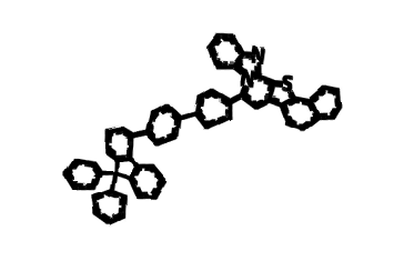 c1ccc(C2(c3ccccc3)c3ccccc3-c3c(-c4ccc(-c5ccc(-c6cc7c8ccc9ccccc9c8sc7c7nc8ccccc8n67)cc5)cc4)cccc32)cc1